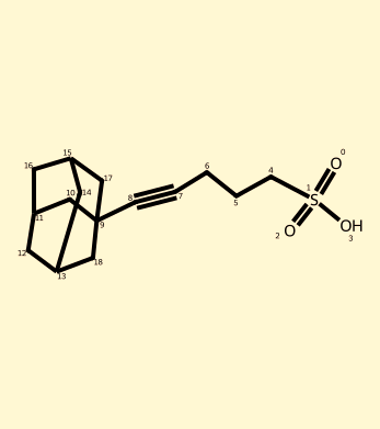 O=S(=O)(O)CCCC#CC12CC3CC(CC(C3)C1)C2